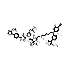 CC(=O)O[C@@H]1C[C@@H](C(=O)N[C@@H](C)c2ccc(-c3scnc3C)cc2)N(C(=O)[C@@H](NC(=O)COCCCCCN(c2ccc(C#N)c(Cl)c2)c2cc(-c3c(C)n[nH]c3C)ccc2C)C(C)(C)C)C1